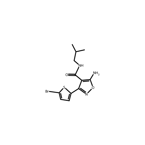 CC(C)CNC(=O)c1c(-c2ccc(Br)s2)noc1N